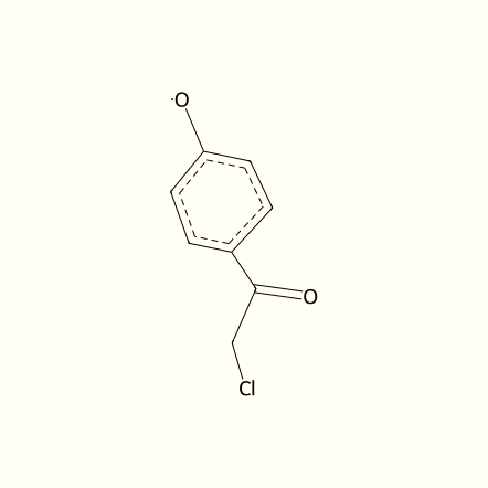 [O]c1ccc(C(=O)CCl)cc1